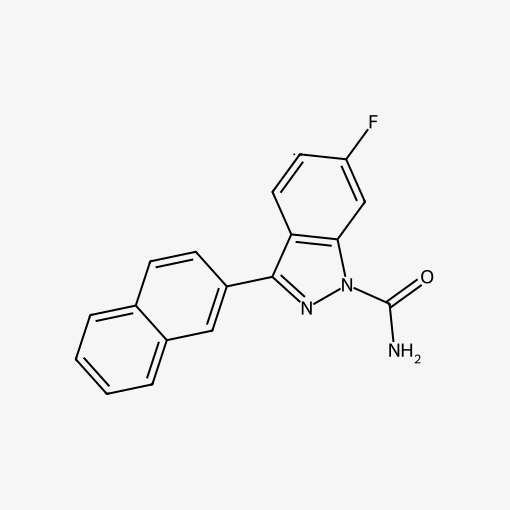 NC(=O)n1nc(-c2ccc3ccccc3c2)c2c[c]c(F)cc21